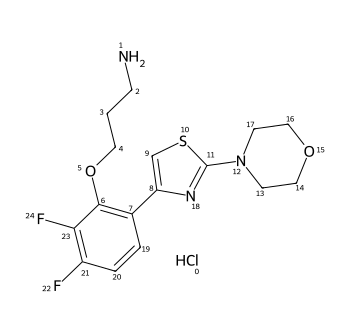 Cl.NCCCOc1c(-c2csc(N3CCOCC3)n2)ccc(F)c1F